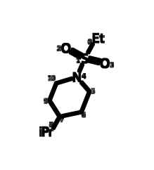 CCS(=O)(=O)N1CCC(C(C)C)CC1